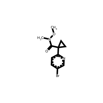 CON(C)C(=O)C1(c2ccc(Br)cn2)CC1